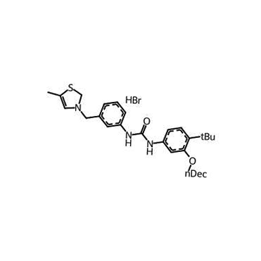 Br.CCCCCCCCCCOc1cc(NC(=O)Nc2cccc(CN3C=C(C)SC3)c2)ccc1C(C)(C)C